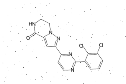 O=C1NCCn2nc(-c3ccnc(-c4cccc(Cl)c4Cl)n3)cc21